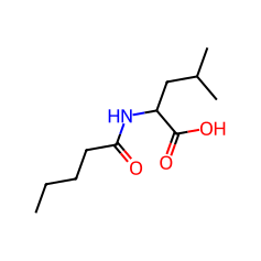 CCCCC(=O)NC(CC(C)C)C(=O)O